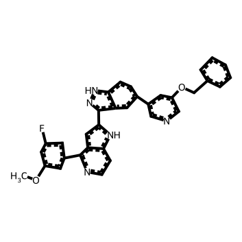 COc1cc(F)cc(-c2nccc3[nH]c(-c4n[nH]c5ccc(-c6cncc(OCc7ccccc7)c6)cc45)cc23)c1